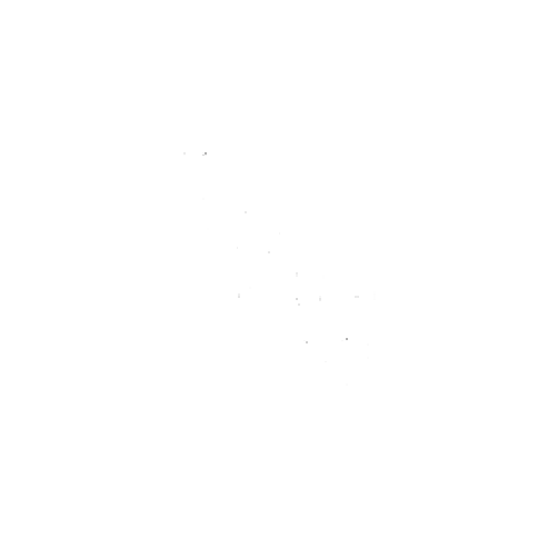 CC1(C)C(C(=O)OC(C#N)c2cccc(C(F)c3ccccc3)c2)C1C(Br)C(Cl)(Cl)Br